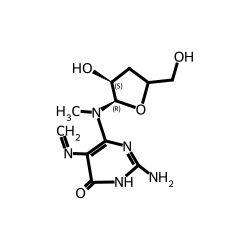 C=Nc1c(N(C)[C@@H]2OC(CO)C[C@@H]2O)nc(N)[nH]c1=O